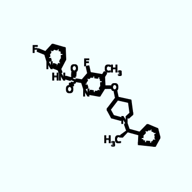 Cc1c(OC2CCN([C@H](C)c3ccccc3)CC2)cnc(S(=O)(=O)Nc2cccc(F)n2)c1F